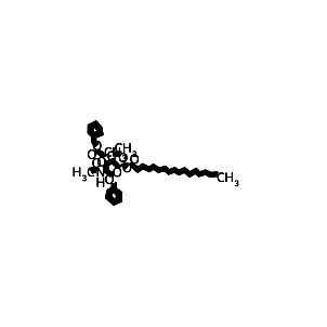 CCCCCCCCCCCCCCCCCC(=O)OC[C@H]1O[C@@H](OCc2ccccc2)[C@H](NC(C)=O)[C@@H](OC(C)C(=O)OCc2ccccc2)[C@@H]1OC(C)=O